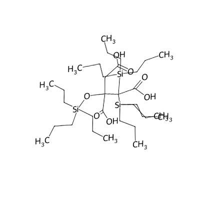 CCC[Si](CCC)(CCC)OC(CC(=O)O)(C(=O)O)C(C(=O)O)([Si](CCC)(CCC)CCC)[Si](CCC)(CCC)CCC